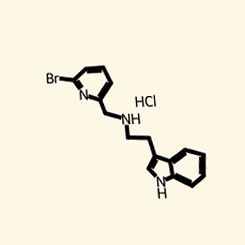 Brc1cccc(CNCCc2c[nH]c3ccccc23)n1.Cl